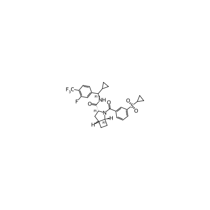 O=C(N[C@@H](c1ccc(C(F)(F)F)c(F)c1)C1CC1)[C@H]1C[C@H]2CC[C@H]2N1C(=O)c1cccc(S(=O)(=O)C2CC2)c1